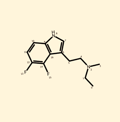 CCN(C)CCc1c[nH]c2ccc(F)c(F)c12